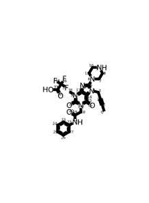 CC#CCn1c(N2CCNCC2)nc2c1c(=O)n(CC(=O)Nc1ccccc1)c(=O)n2C.O=C(O)C(F)(F)F